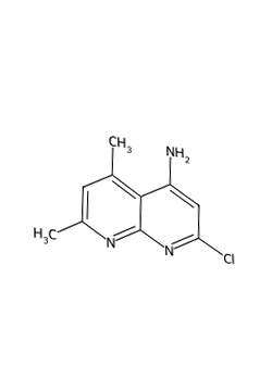 Cc1cc(C)c2c(N)cc(Cl)nc2n1